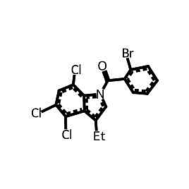 [CH2]Cc1cn(C(=O)c2ccccc2Br)c2c(Cl)cc(Cl)c(Cl)c12